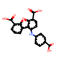 O=C(O)c1ccc(Nc2ccc(C(=O)O)c3oc4c(C(=O)O)cccc4c23)cc1